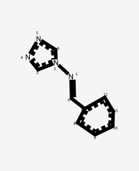 C(=Nn1cnnc1)c1ccccc1